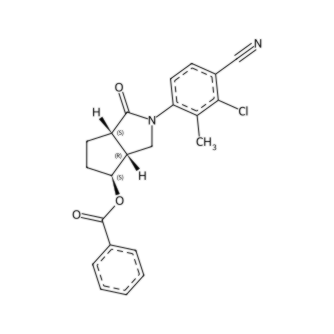 Cc1c(N2C[C@@H]3[C@@H](OC(=O)c4ccccc4)CC[C@@H]3C2=O)ccc(C#N)c1Cl